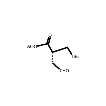 COC(=O)[C@@H](CC=O)CC(C)(C)C